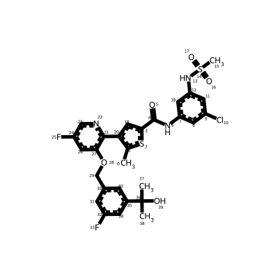 Cc1sc(C(=O)Nc2cc(Cl)cc(NS(C)(=O)=O)c2)cc1-c1ncc(F)cc1OCc1cc(F)cc(C(C)(C)O)c1